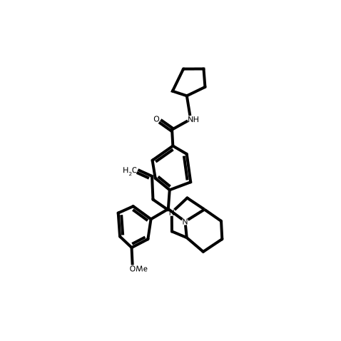 C=CCN1CC2CCCC(C1)N2C(c1ccc(C(=O)NC2CCCC2)cc1)c1cccc(OC)c1